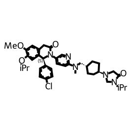 COc1cc2c(cc1OC(C)C)[C@H](c1ccc(Cl)cc1)N(c1ccc(N(C)C[C@H]3CC[C@H](N4CC(=O)N(C(C)C)C4)CC3)nc1)C(=O)C2